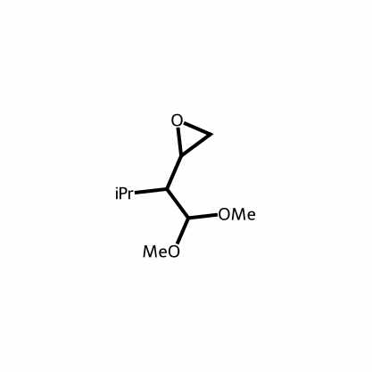 COC(OC)C(C(C)C)C1CO1